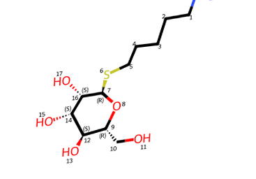 NCCCCCS[C@H]1O[C@H](CO)[C@@H](O)[C@H](O)[C@@H]1O